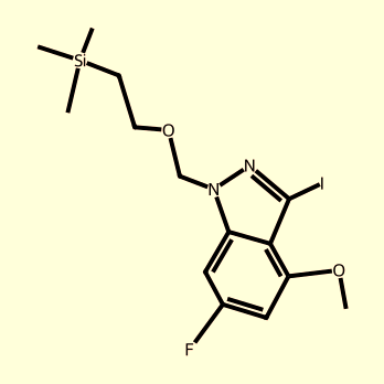 COc1cc(F)cc2c1c(I)nn2COCC[Si](C)(C)C